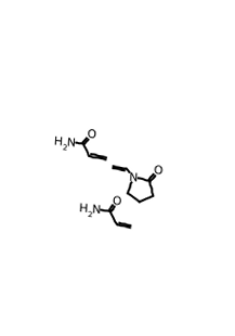 C=CC(N)=O.C=CC(N)=O.C=CN1CCCC1=O